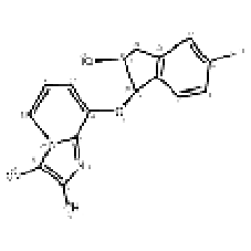 Cc1nc2c(O[C@@H]3c4ccc(F)cc4C[C@@H]3O)cccn2c1N=O